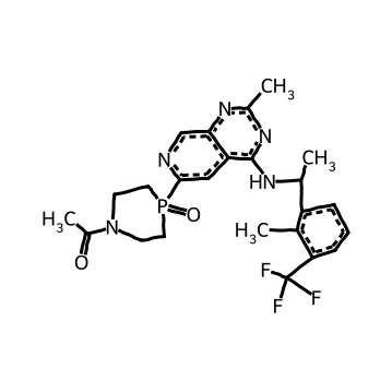 CC(=O)N1CCP(=O)(c2cc3c(NC(C)c4cccc(C(F)(F)F)c4C)nc(C)nc3cn2)CC1